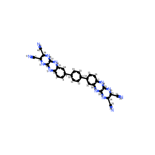 N#Cc1nc2nc3ccc(-c4ccc(-c5ccc6nc7nc(C#N)c(C#N)nc7nc6c5)cc4)cc3nc2nc1C#N